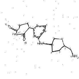 NCC1CCC(Nc2cccc(C3CCC(=O)NC3=O)c2)CC1